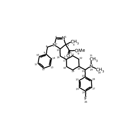 COC(=O)C1(C)N=CN(Cc2ccccc2)C1CC1CCC(C(c2ccc(F)cc2)N(C)C)CC1